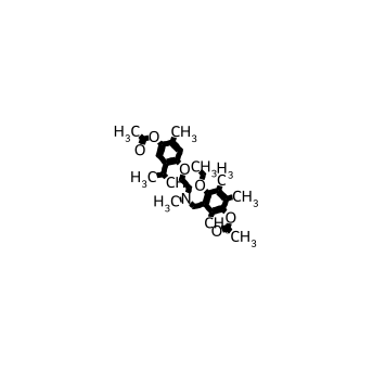 CCOc1c(C)c(C)c(OC(C)=O)c(C)c1CN(C)CCOc1cc(C)c(OC(C)=O)cc1C(C)C